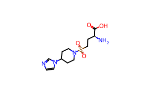 N[C@@H](CCS(=O)(=O)N1CCC(n2ccnc2)CC1)C(=O)O